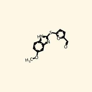 COc1ccc2[nH]c(Sc3ccc(C=O)o3)nc2c1